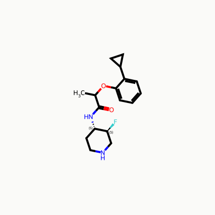 CC(Oc1ccccc1C1CC1)C(=O)N[C@H]1CCNC[C@@H]1F